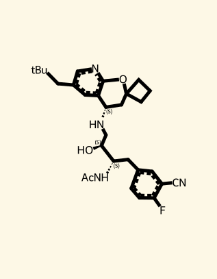 CC(=O)N[C@@H](Cc1ccc(F)c(C#N)c1)[C@@H](O)CN[C@H]1CC2(CCC2)Oc2ncc(CC(C)(C)C)cc21